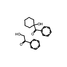 O=C(CO)c1ccccc1.O=C(c1ccccc1)C1(O)CCCCC1